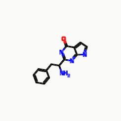 NC(Cc1ccccc1)C1=NC(=O)C2=CC=NC2=N1